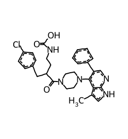 Cc1c[nH]c2ncc(-c3ccccc3)c(N3CCN(C(=O)C(CCNC(=O)O)Cc4ccc(Cl)cc4)CC3)c12